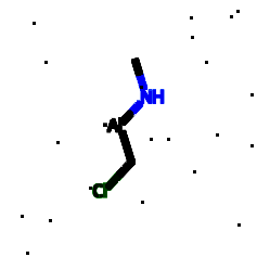 C[NH][Al][CH2]Cl